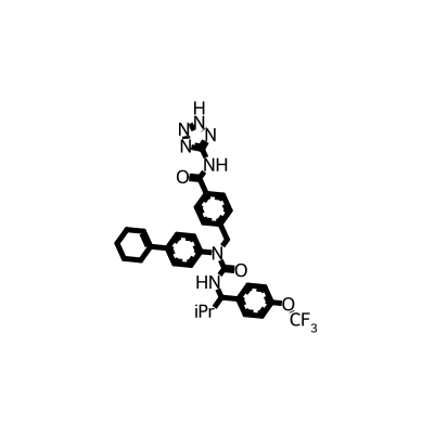 CC(C)C(NC(=O)N(Cc1ccc(C(=O)Nc2nn[nH]n2)cc1)c1ccc(C2=CCCCC2)cc1)c1ccc(OC(F)(F)F)cc1